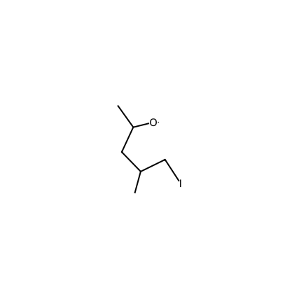 CC([O])CC(C)CI